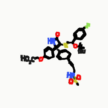 CC(C)(C)[Si](C)(C)O[C@@H](CS[C@H]1C(=O)N[C@]1(c1ccc(C#CCNS(C)(=O)=O)cc1)c1ccc(OCC(=O)O)cc1)c1ccc(F)cc1